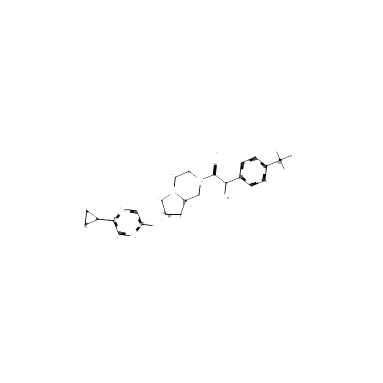 O=C(C(O)c1ccc(C(F)(F)F)cc1)N1CCN2C[C@H](Oc3cnc(C4CC4)cn3)C[C@H]2C1